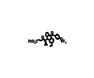 C=Cc1ccc2c(c1)C(N(C(=O)CCC(=O)OCC)C1CC1)C1CCCC1N2C(=O)c1ccc(OC(F)(F)F)cc1